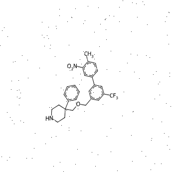 Cc1ccc(-c2cc(COCC3(c4ccccc4)CCNCC3)cc(C(F)(F)F)c2)cc1[N+](=O)[O-]